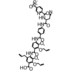 C=CCOc1c(C(=O)Nc2c(CC=C)cc(C(=O)O)c(OCC=C)c2OC)ccc(NC(=O)c2ccc(NC(=O)C(CC#N)NC(=O)c3ccc([N+](=O)[O-])cn3)cc2)c1OC